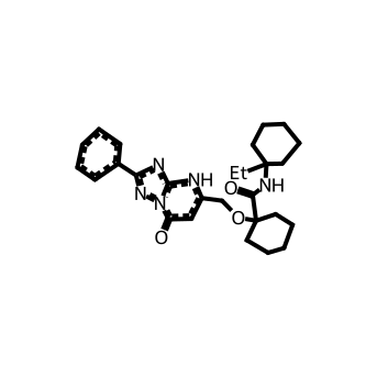 CCC1(NC(=O)C2(OCc3cc(=O)n4nc(-c5ccccc5)nc4[nH]3)CCCCC2)CCCCC1